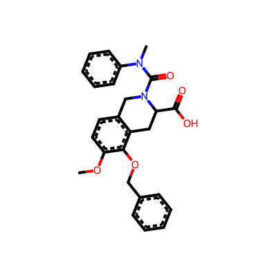 COc1ccc2c(c1OCc1ccccc1)CC(C(=O)O)N(C(=O)N(C)c1ccccc1)C2